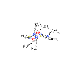 CCCCCCCCC(CCCCCC)CN1C(=O)C2=C(c3ncc(-c4ccc5c6ccc(C)cc6n(CCCCCC)c5c4)s3)N(CC(CCCCCC)CCCCCCCC)C(=O)C2=C1c1ncc(C)s1